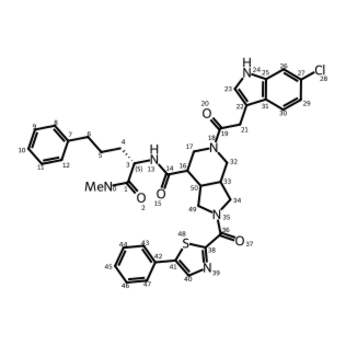 CNC(=O)[C@H](CCCc1ccccc1)NC(=O)C1CN(C(=O)Cc2c[nH]c3cc(Cl)ccc23)CC2CN(C(=O)c3ncc(-c4ccccc4)s3)CC21